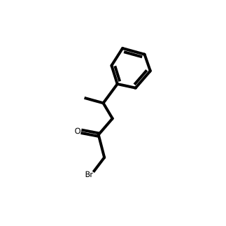 CC(CC(=O)CBr)c1ccccc1